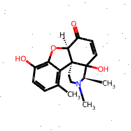 Cc1ccc(O)c2c1[C@]13CCN(C)[C@H](C)C1(O)C=CC(=O)[C@@H]3O2